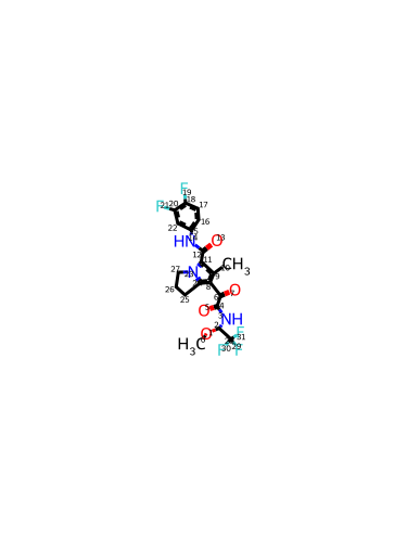 COC(NC(=O)C(=O)c1c(C)c(C(=O)Nc2ccc(F)c(F)c2)n2c1CCC2)C(F)(F)F